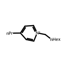 CCCCCCC[n+]1ccc(CCC)cc1